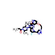 C=CC(=O)N1CC(C)N(c2nc(=O)n3c4nc(c(F)cc24)-c2cn(nn2)CCCOc2ccnc(C(C)C)c2-3)CC1C